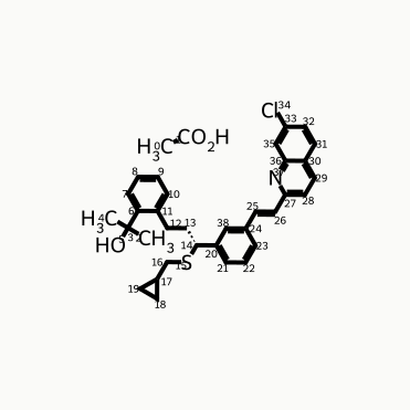 CC(=O)O.CC(C)(O)c1ccccc1CC[C@@H](SCC1CC1)c1cccc(C=Cc2ccc3ccc(Cl)cc3n2)c1